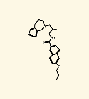 CCCOc1ccc2cc(C(=O)NC[C@H](C)CN3CCCc4ccccc4C3)ccc2c1